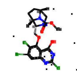 CC(C)(C)OC(=O)N1[C@@H]2CC[C@H]1[C@@H](COc1c(Cl)c(Br)cc3nc(Cl)nc(O)c13)NC2